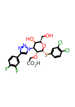 O=C(O)CO[C@@H]1[C@@H](n2cc(-c3ccc(F)c(F)c3)nn2)[C@@H](O)[C@@H](CO)O[C@@H]1Sc1ccc(Cl)c(Cl)c1